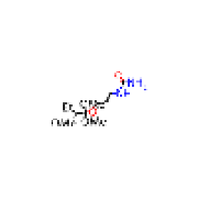 CCC(OC)C(OC)(OC)OCCCNC(N)=O